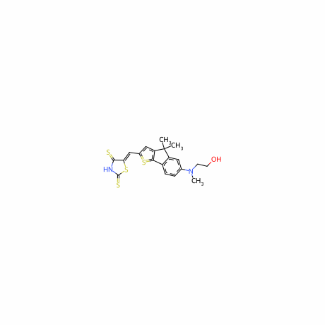 CN(CCO)c1ccc2c(c1)C(C)(C)c1cc(/C=C3\SC(=S)NC3=S)sc1-2